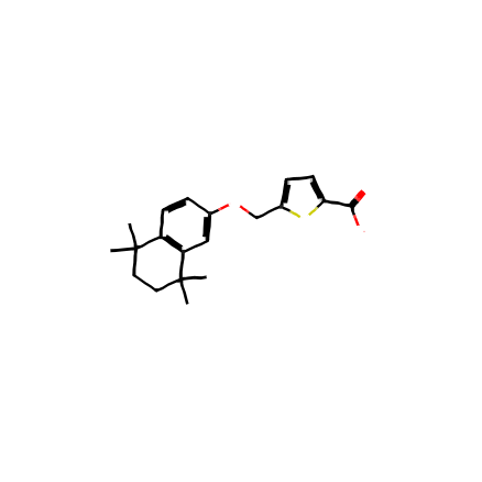 CC1(C)CCC(C)(C)c2cc(OCc3ccc(C(=O)O)s3)ccc21